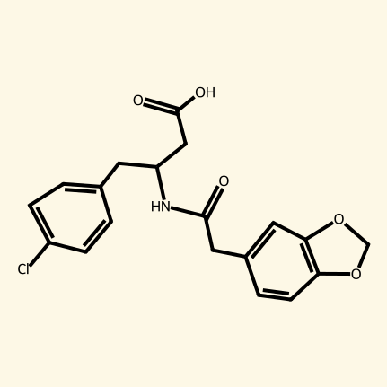 O=C(O)CC(Cc1ccc(Cl)cc1)NC(=O)Cc1ccc2c(c1)OCO2